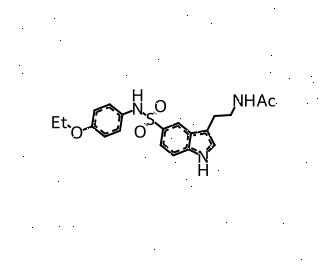 CCOc1ccc(NS(=O)(=O)c2ccc3[nH]cc(CCNC(C)=O)c3c2)cc1